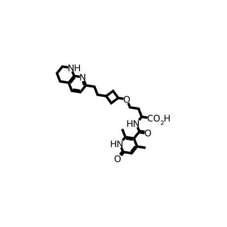 Cc1cc(=O)[nH]c(C)c1C(=O)NC(CCOC1CC(CCc2ccc3c(n2)NCCC3)C1)C(=O)O